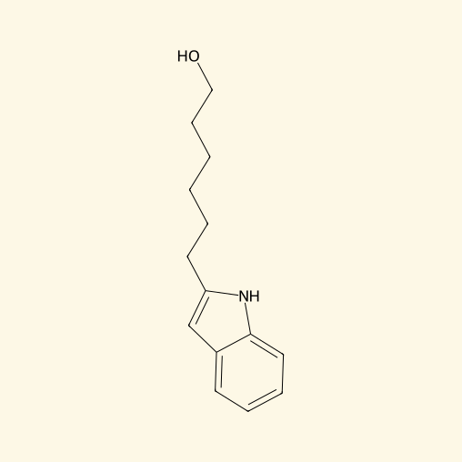 OCCCCCCc1cc2ccccc2[nH]1